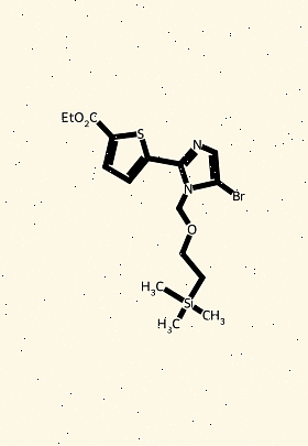 CCOC(=O)c1ccc(-c2ncc(Br)n2COCC[Si](C)(C)C)s1